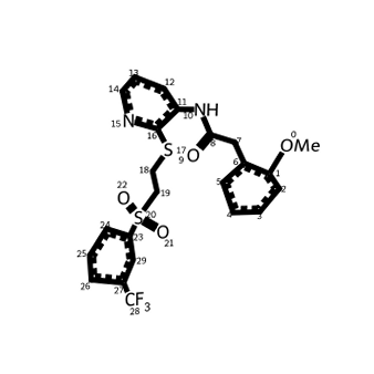 COc1ccccc1CC(=O)Nc1cccnc1SCCS(=O)(=O)c1cccc(C(F)(F)F)c1